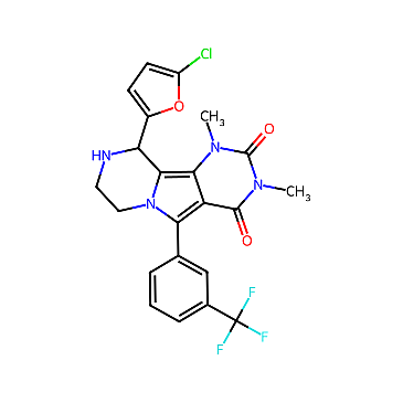 Cn1c(=O)c2c(-c3cccc(C(F)(F)F)c3)n3c(c2n(C)c1=O)C(c1ccc(Cl)o1)NCC3